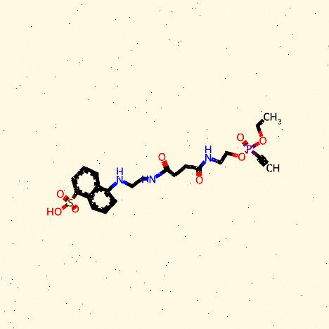 C#CP(=O)(OCC)OCCNC(=O)CCC(=O)NCCNc1cccc2c(S(=O)(=O)O)cccc12